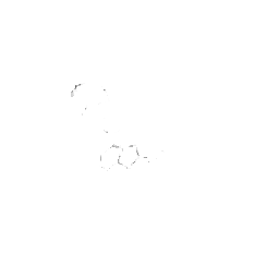 CCOC(=O)c1cn2c(C(=O)NCC3CC4CC5CC6CC36C4C5)c(Cl)ccc2n1